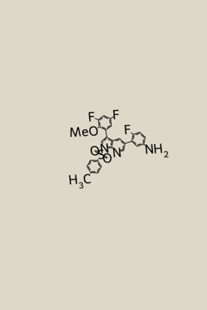 COc1c(F)cc(F)cc1-c1cn(S(=O)(=O)c2ccc(C)cc2)c2ncc(-c3cc(N)ccc3F)cc12